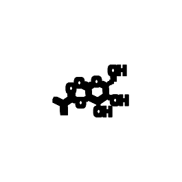 C=C(C)C(=O)O[C@H]1C(=O)O[C@H](CO)[C@@H](O)[C@@H]1O